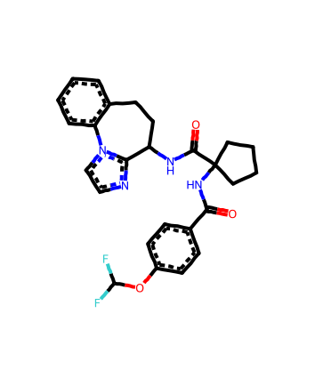 O=C(NC1(C(=O)NC2CCc3ccccc3-n3ccnc32)CCCC1)c1ccc(OC(F)F)cc1